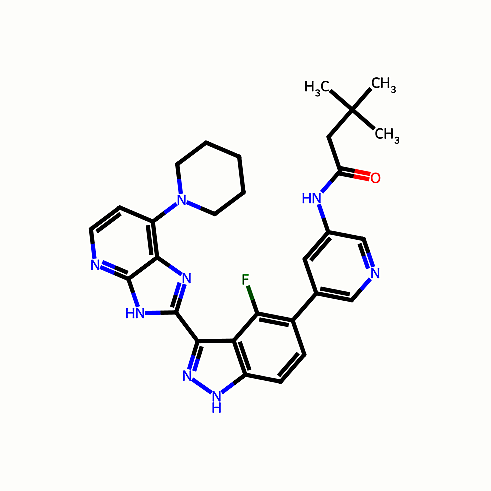 CC(C)(C)CC(=O)Nc1cncc(-c2ccc3[nH]nc(-c4nc5c(N6CCCCC6)ccnc5[nH]4)c3c2F)c1